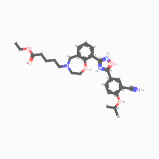 CCOC(=O)CCCCN1CCOc2c(cccc2-c2noc(-c3ccc(OC(C)C)c(C#N)c3)n2)C1